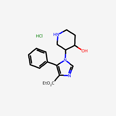 CCOC(=O)c1ncn(C2CNCCC2O)c1-c1ccccc1.Cl